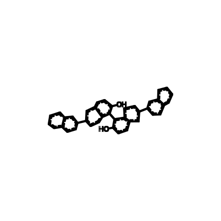 Oc1ccc2cc(-c3ccc4ccccc4c3)ccc2c1-c1c(O)ccc2cc(-c3ccc4ccccc4c3)ccc12